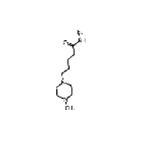 CCNC(=O)CCCCN1CCN(C)CC1